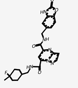 CC1(F)CCC(CNC(=O)c2cc(C(=O)NCc3ccc4oc(=O)[nH]c4c3)nc3ccnn23)CC1